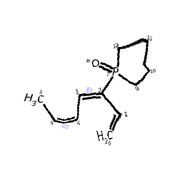 C=C/C(=C\C=C/C)P1(=O)CCCC1